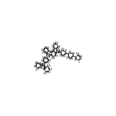 c1ccc(-c2ccc(-c3ccc(-n4c5ccccc5c5c6c7ccccc7n(-c7ccc(N(c8ccccc8)c8ccccc8)cc7)c6ccc54)cc3)cc2)cc1